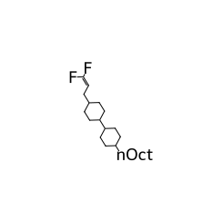 CCCCCCCCC1CCC(C2CCC(CC=C(F)F)CC2)CC1